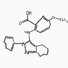 COc1ccc(Nc2c3c(nn2-c2ccccc2)CCCC3)c(C(=O)O)c1